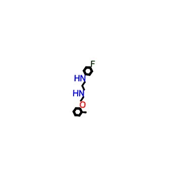 Cc1ccccc1OCCNCCCNc1ccc(F)cc1